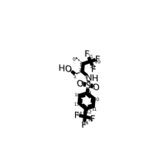 C[C@@H]([C@@H](CO)NS(=O)(=O)c1ccc(C(F)(F)F)cc1)C(F)(F)F